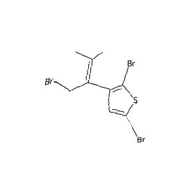 CC(C)=C(CBr)c1cc(Br)sc1Br